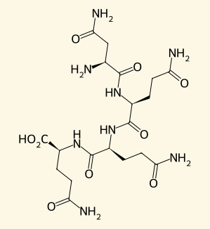 NC(=O)CC[C@H](NC(=O)[C@H](CCC(N)=O)NC(=O)[C@H](CCC(N)=O)NC(=O)[C@@H](N)CC(N)=O)C(=O)O